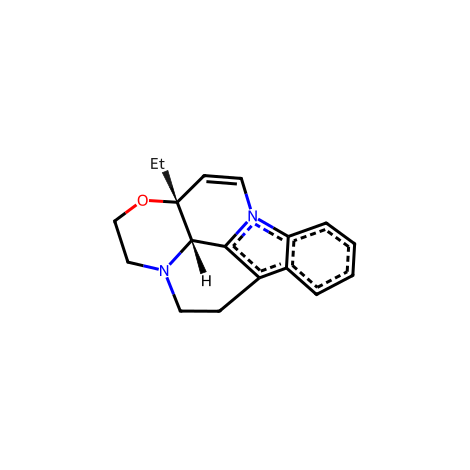 CC[C@]12C=Cn3c4c(c5ccccc53)CCN(CCO1)[C@@H]42